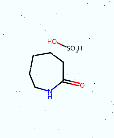 O=C1CCCCCN1.O=S(=O)(O)O